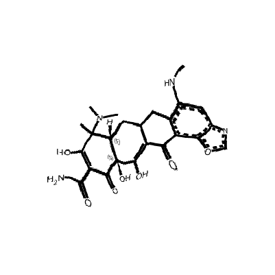 CNc1cc2ncoc2c2c1CC1C[C@H]3C(C)(N(C)C)C(O)=C(C(N)=O)C(=O)[C@@]3(O)C(O)=C1C2=O